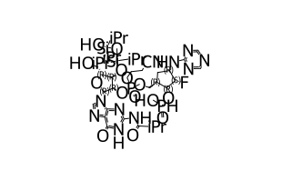 CC(C)C(=O)Nc1nc2c(ncn2[C@@H]2O[C@H](CO)[C@@H](O[Si](O[Si](O)(C(C)C)C(C)C)(C(C)C)C(C)C)[C@H]2OP(=O)(OCCC#N)OC[C@H]2C[C@@H](Nc3ncncn3)[C@H](F)[C@@H]2O[PH](=O)O)c(=O)[nH]1